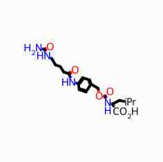 CC(C)CC(NC(=O)OCc1ccc(NC(=O)CCCCNC(N)=O)cc1)C(=O)O